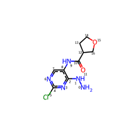 NNc1nc(Cl)ncc1NC(=O)C1CCOC1